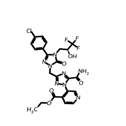 CCOC(=O)c1ccncc1-n1nc(Cn2nc(-c3ccc(Cl)cc3)n(C[C@H](O)C(F)(F)F)c2=O)nc1C(N)=O